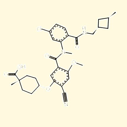 COc1cc(C#N)c(O[C@H]2CC[C@@](C)(C(=O)O)CC2)cc1C(=O)N(C)c1cc(Cl)ccc1C(=O)NC[C@H]1C[C@@H](C)C1